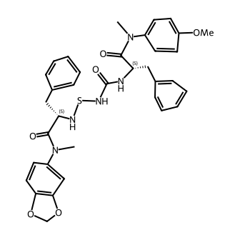 COc1ccc(N(C)C(=O)[C@H](Cc2ccccc2)NC(=O)NSN[C@@H](Cc2ccccc2)C(=O)N(C)c2ccc3c(c2)OCO3)cc1